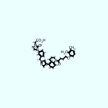 Cc1cccc(OCCCC(=O)N2CCCc3c(-c4cnn(Cc5cccc(-n6cnn(CC(=O)O)c6=O)c5)c4)cccc32)c1C